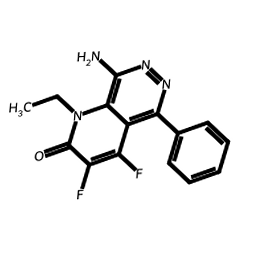 CCn1c(=O)c(F)c(F)c2c(-c3ccccc3)nnc(N)c21